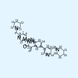 C=C(C(=O)Nc1ccc(CN2CCCCC2)nc1)C1=CC(c2cncc(CN3CCCCC3)c2)=CCC1NC